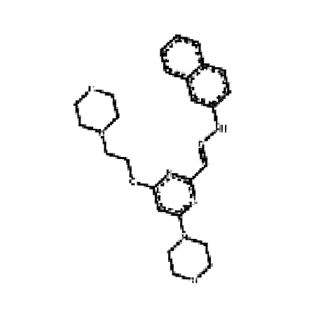 C(=NNc1ccc2ccccc2c1)c1nc(OCCN2CCOCC2)cc(N2CCOCC2)n1